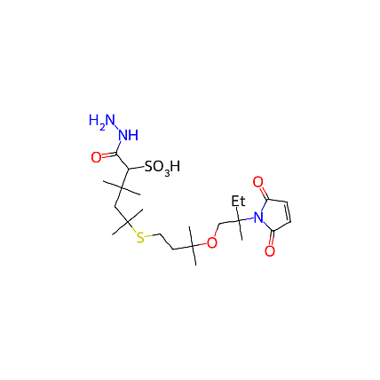 CCC(C)(COC(C)(C)CCSC(C)(C)CC(C)(C)C(C(=O)NN)S(=O)(=O)O)N1C(=O)C=CC1=O